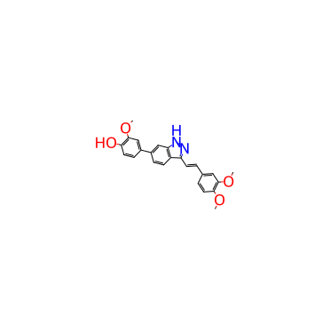 COc1cc(-c2ccc3c(C=Cc4ccc(OC)c(OC)c4)n[nH]c3c2)ccc1O